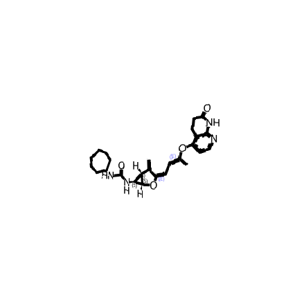 C=C1/C(=C\C=C(/C)Oc2ccnc3c2CCC(=O)N3)O[C@@H]2[C@@H](NC(=O)NC3CCCCCC3)[C@H]12